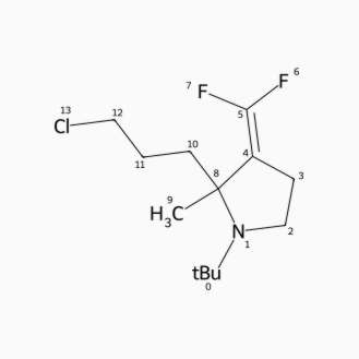 CC(C)(C)N1CCC(=C(F)F)C1(C)CCCCl